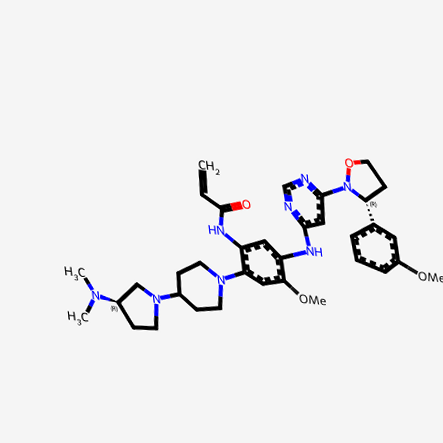 C=CC(=O)Nc1cc(Nc2cc(N3OCC[C@@H]3c3cccc(OC)c3)ncn2)c(OC)cc1N1CCC(N2CC[C@@H](N(C)C)C2)CC1